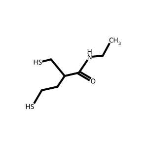 CCNC(=O)C(CS)CCS